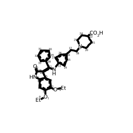 CCOc1cc2c(cc1OCC)C(=C(Nc1ccc(CCN3CCC(C(=O)O)CC3)cc1)c1ccccc1)C(=O)N2